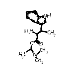 CC(c1c[nH]c2ccccc12)C(N)C(=O)OC(C)N(C)C